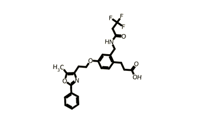 Cc1oc(-c2ccccc2)nc1CCOc1ccc(CCC(=O)O)c(CNC(=O)CC(F)(F)F)c1